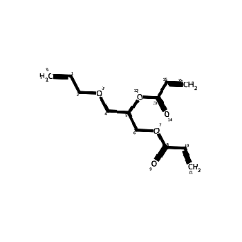 C=CCOCC(COC(=O)C=C)OC(=O)C=C